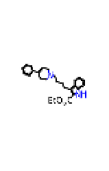 CCOC(=O)c1[nH]c2ccccc2c1CCCCN1CC=C(c2ccccc2)CC1